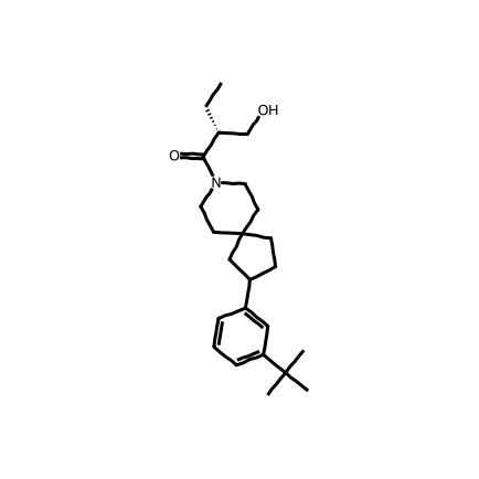 CC[C@H](CO)C(=O)N1CCC2(CCC(c3cccc(C(C)(C)C)c3)C2)CC1